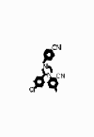 Cc1ccc(N2CCN(Cc3ccc(C#N)cc3)CC2c2ccc(Cl)cc2)c(C#N)c1